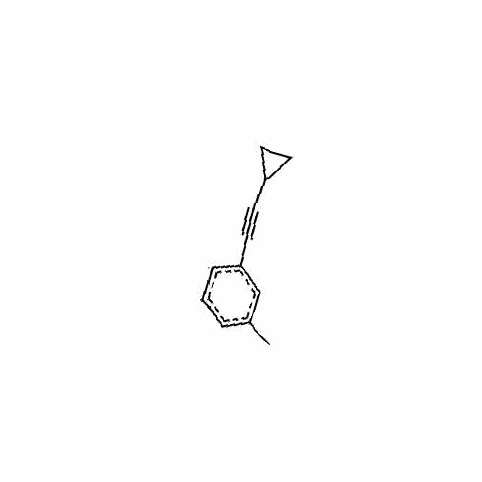 Cc1cc[c]c(C#CC2CC2)c1